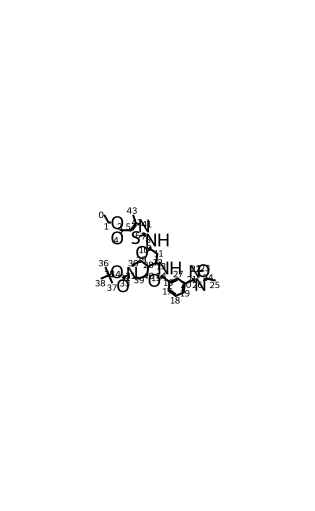 CCOC(=O)c1sc(NC(=O)CC(NC(=O)c2cccc(-c3noc(C)n3)c2)C2CCN(C(=O)OC(C)(C)C)CC2)nc1C